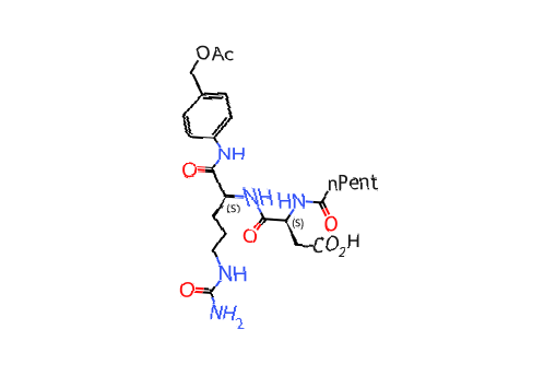 CCCCCC(=O)N[C@@H](CC(=O)O)C(=O)N[C@@H](CCCNC(N)=O)C(=O)Nc1ccc(COC(C)=O)cc1